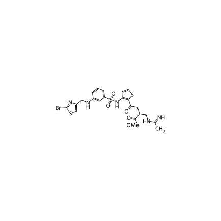 COC(=O)[C@H](CNC(C)=N)CC(=O)c1sccc1NS(=O)(=O)c1cccc(NCc2csc(Br)n2)c1